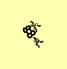 CCO[SiH](OCC)OCC.CCO[SiH](OCC)OCC.c1cc2cccc3c4cccc5cccc(c(c1)c23)c54